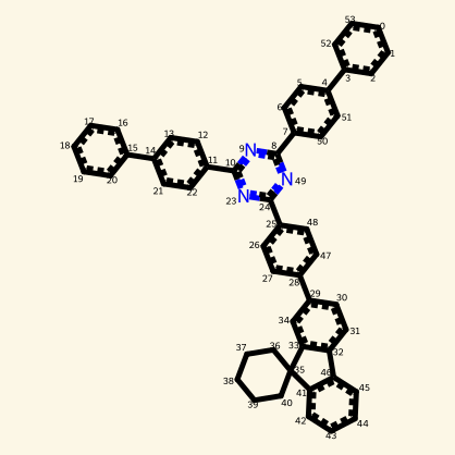 c1ccc(-c2ccc(-c3nc(-c4ccc(-c5ccccc5)cc4)nc(-c4ccc(-c5ccc6c(c5)C5(CCCCC5)c5ccccc5-6)cc4)n3)cc2)cc1